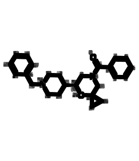 O=C(c1ccccc1)N1C[C@H](C2CCN(Cc3ccccc3)CC2)OC2(CC2)C1